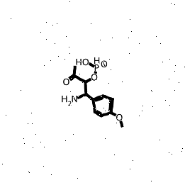 COc1ccc(C(N)C(O[PH](=O)O)C(C)=O)cc1